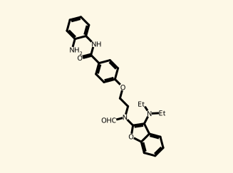 CCN(CC)c1c(N(C=O)CCOc2ccc(C(=O)Nc3ccccc3N)cc2)oc2ccccc12